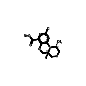 COC(=O)c1nc(Cl)nc2c1OC[C@H]1COC[C@@H](C)N21